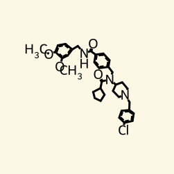 COc1ccc(CNC(=O)c2ccc(CN(C(=O)C3CCCC3)C3CCN(Cc4ccc(Cl)cc4)CC3)cc2)cc1OC